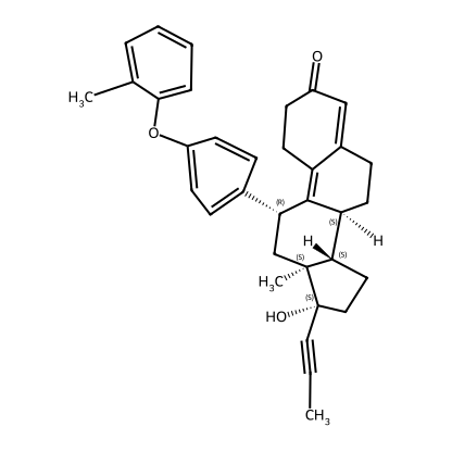 CC#C[C@]1(O)CC[C@H]2[C@@H]3CCC4=CC(=O)CCC4=C3[C@@H](c3ccc(Oc4ccccc4C)cc3)C[C@@]21C